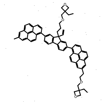 C=CC1(CCCOCC2(CC)COC2)c2cc(-c3ccc4ccc5cc(C)cc6ccc3c4c56)ccc2-c2ccc(-c3ccc4ccc5cc(CCOCC6(CC)COC6)cc6ccc3c4c56)cc21